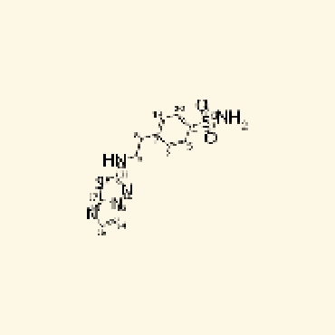 NS(=O)(=O)c1ccc(CCNc2nn3ccnc3s2)cc1